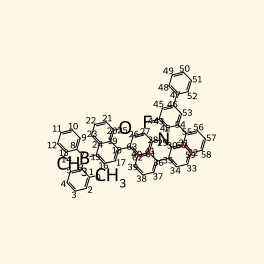 Cc1ccccc1B(c1ccccc1C)c1ccc2c3c(cccc13)Oc1cc(N(c3ccccc3-c3ccccc3)c3c(F)cc(-c4ccccc4)cc3-c3ccccc3)ccc1-2